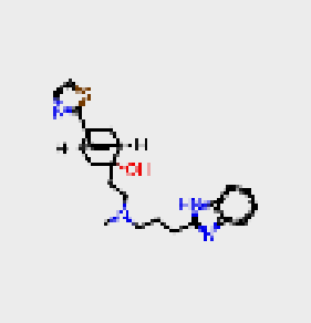 CN(CCCc1nc2ccccc2[nH]1)CC[C@]1(O)C[C@H]2CC[C@@H]1C=C2c1nccs1